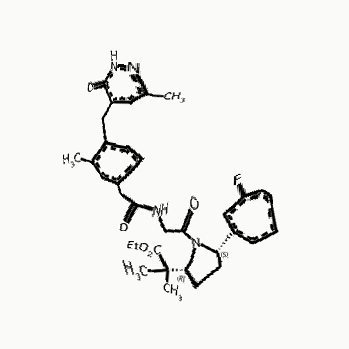 CCOC(=O)C(C)(C)[C@H]1CC[C@@H](c2cccc(F)c2)N1C(=O)CNC(=O)c1ccc(Cc2cc(C)n[nH]c2=O)c(C)c1